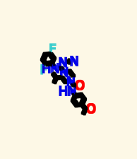 CC(=O)c1ccc(NC(=O)N2CCN(/C(=N\C#N)Nc3cc(F)ccc3F)C(C(C)C)C2)cc1